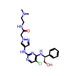 CN(C)CCNC(=O)Cn1cc(Nc2ncc(Cl)c(N[C@H](CO)c3ccccc3)n2)cn1